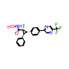 O=C(NO)[C@]1(F)[C@H](c2ccccc2)[C@H]1c1ccc(-c2cnc(C(F)(F)F)cn2)cc1